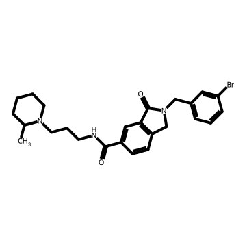 CC1CCCCN1CCCNC(=O)c1ccc2c(c1)C(=O)N(Cc1cccc(Br)c1)C2